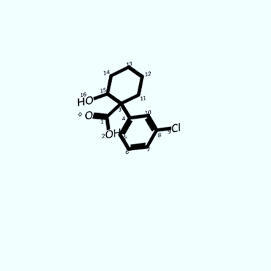 O=C(O)C1(c2cccc(Cl)c2)CCCCC1O